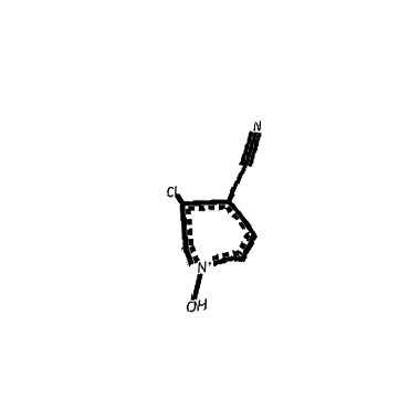 N#Cc1cc[n+](O)cc1Cl